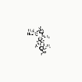 Cc1nc(N[C@H](C)c2cccc(C(F)F)c2F)c2cc(N(C)c3cnc(=O)n(CC(=O)N(C)C)c3)ccc2n1